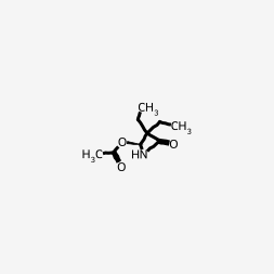 CCC1(CC)C(=O)N[C@H]1OC(C)=O